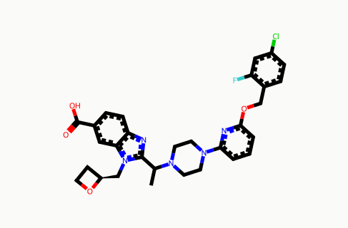 CC(c1nc2ccc(C(=O)O)cc2n1C[C@@H]1CCO1)N1CCN(c2cccc(OCc3ccc(Cl)cc3F)n2)CC1